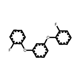 Fc1ccccc1Oc1cccc(Oc2ccccc2F)c1